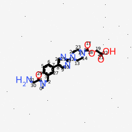 CN(Cc1cccc(-c2cnc(N3CCN(C(=O)OCC(=O)O)CC3)nc2)c1)C(=O)CN